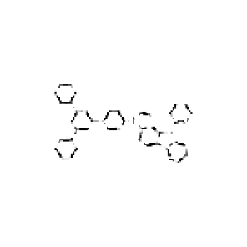 c1ccc(-c2cc(-c3ccccc3)cc(-c3ccc(-n4ccc5c4ccc4c6ccccc6n(-c6ccccc6)c45)cc3)c2)cc1